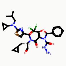 CC(C)CN(c1nc(C(=O)N(C(=O)C2=C(C(F)(F)F)OC(c3ccccc3)N2C(=O)NN)[C@H]([C]=O)CC2CC2)cs1)C1CC1